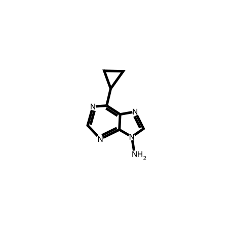 Nn1cnc2c(C3CC3)ncnc21